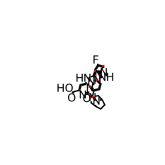 Cc1cc(Nc2cc(C(=O)O)nc(N3CC4CCC(C3)N4C(=O)c3ccc(-n4cc(F)cn4)nc3)n2)n[nH]1